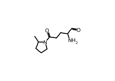 CC1CCCN1C(=O)CCC(N)C=O